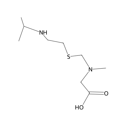 CC(C)NCCSCN(C)CC(=O)O